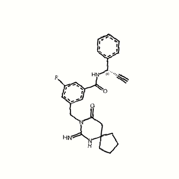 C#C[C@H](NC(=O)c1cc(F)cc(CN2C(=N)NC3(CCCC3)CC2=O)c1)c1ccccc1